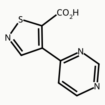 O=C(O)c1sncc1-c1ccncn1